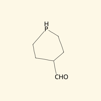 O=CC1CCPCC1